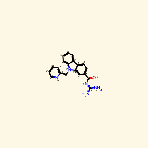 NC(N)=NC(=O)c1ccc2c3ccccc3n(Cc3ccccn3)c2c1